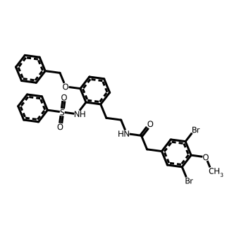 COc1c(Br)cc(CC(=O)NCCc2cccc(OCc3ccccc3)c2NS(=O)(=O)c2ccccc2)cc1Br